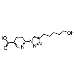 O=C(O)c1ccc(-n2cc(CCCCCO)nn2)nc1